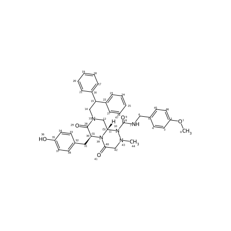 COc1ccc(CNC(=O)N2[C@H]3CN(CC(c4ccccc4)c4ccccc4)C(=O)[C@H](Cc4ccc(O)cc4)N3C(=O)CN2C)cc1